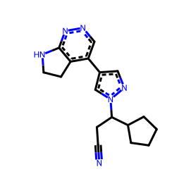 N#CCC(C1CCCC1)n1cc(-c2cnnc3c2CCN3)cn1